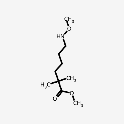 CONCCCCC(C)(C)C(=O)OC